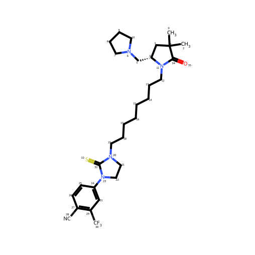 CC1(C)C[C@@H](CN2CCCC2)N(CCCCCCCCN2CCN(c3ccc(C#N)c(C(F)(F)F)c3)C2=S)C1=O